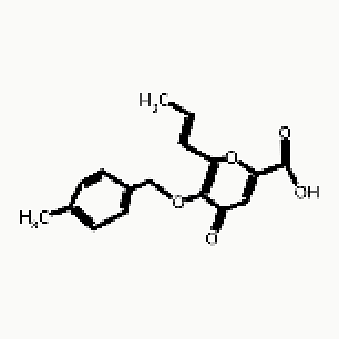 CC=Cc1oc(C(=O)O)cc(=O)c1OCc1ccc(C)cc1